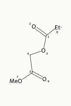 C[CH]C(=O)OCC(=O)OC